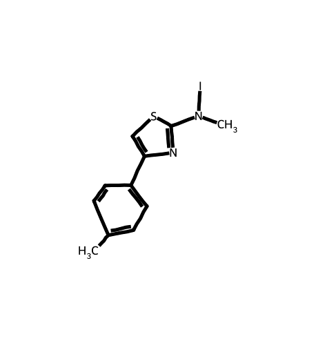 Cc1ccc(-c2csc(N(C)I)n2)cc1